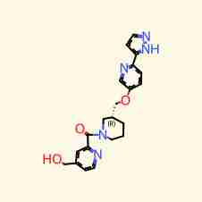 O=C(c1cc(CO)ccn1)N1CCC[C@@H](COc2ccc(-c3ccn[nH]3)nc2)C1